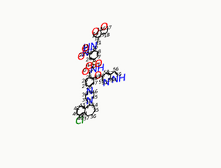 O=C(NS(=O)(=O)c1ccc(NCC2COC3OCCC23)c([N+](=O)[O-])c1)c1ccc(N2CCN(C3CCCCc4c(Cl)cccc43)CC2)cc1Oc1cnc2[nH]ccc2c1